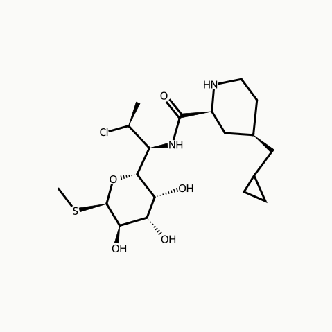 CS[C@H]1O[C@H]([C@H](NC(=O)[C@@H]2C[C@H](CC3CC3)CCN2)[C@H](C)Cl)[C@H](O)[C@H](O)[C@H]1O